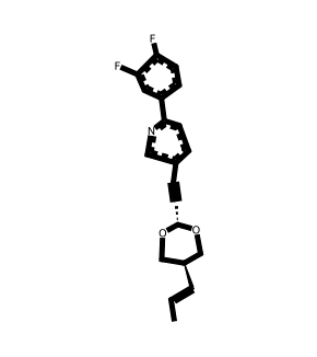 CC=C[C@H]1CO[C@H](C#Cc2ccc(-c3ccc(F)c(F)c3)nc2)OC1